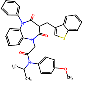 COc1ccc(N(C(=O)CN2C(=O)C(Cc3csc4ccccc34)C(=O)N(c3ccccc3)c3ccccc32)C(C)C)cc1